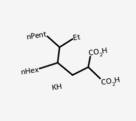 CCCCCCC(CC(C(=O)O)C(=O)O)C(CC)CCCCC.[KH]